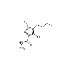 CCCCc1c(Cl)sc(C(=O)NN)c1Cl